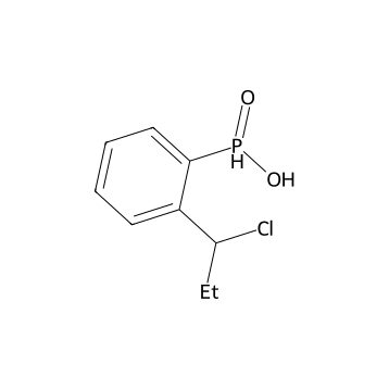 CCC(Cl)c1ccccc1[PH](=O)O